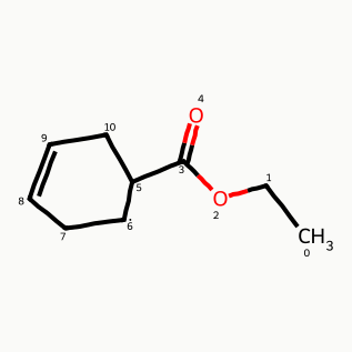 CCOC(=O)C1[CH]CC=CC1